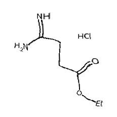 CCOC(=O)CCC(=N)N.Cl